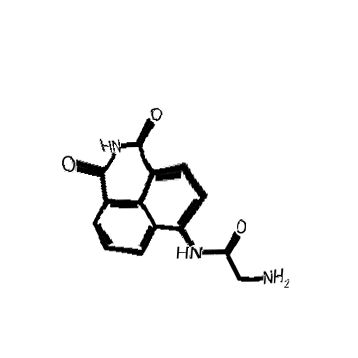 NCC(=O)Nc1ccc2c3c(cccc13)C(=O)NC2=O